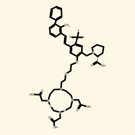 Cc1c(/C=C/c2cc(OCCOCCN3CCN(CC(=O)O)CCN(CC(=O)O)CCN(CC(=O)O)CC3)c(CN3CCCC[C@@H]3C(=O)O)cc2C(F)(F)F)cccc1-c1ccccc1